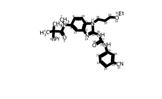 CCCC(C)(C)C(=O)N(C)c1ccc2c(c1)nc(NC(=O)Nc1cccc(C#N)c1)n2CCCOCC